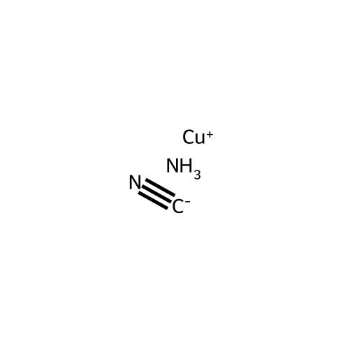 N.[C-]#N.[Cu+]